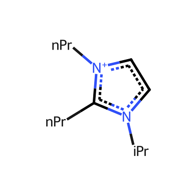 CCCc1n(C(C)C)cc[n+]1CCC